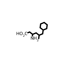 CC(CC(N)CC(=O)O)CC1CCCCC1